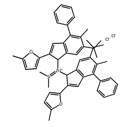 Cc1ccc(C2=Cc3c(cc(C(C)C)c(C)c3-c3ccccc3)[CH]2[Zr+2]([CH]2C(c3ccc(C)o3)=Cc3c2cc(C(C)C)c(C)c3-c2ccccc2)=[Si](C)C)o1.[Cl-].[Cl-]